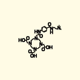 CN(C)CCNC(=O)c1ccc(NC(=O)CN2CCN(CC(=O)O)CCN(CC(=O)O)CCN(CC(=O)O)CC2)cc1